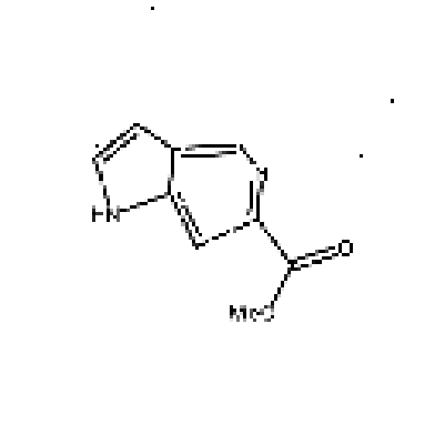 COC(=O)c1cc2[nH]ccc2cn1